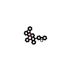 c1ccc(-c2ccc3c4c(cccc24)-c2ccccc2-3)c(-c2c3ccccc3c(-c3ccc4c(c3)oc3ccccc34)c3ccccc23)c1